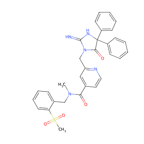 CN(Cc1ccccc1S(C)(=O)=O)C(=O)c1ccnc(CN2C(=N)NC(c3ccccc3)(c3ccccc3)C2=O)c1